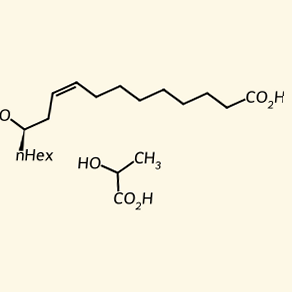 CC(O)C(=O)O.CCCCCC[C@@H](O)C/C=C\CCCCCCCC(=O)O